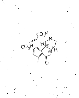 Cc1cccc2c1C(=O)C[C@@H]1CCN(C)C[C@H]21.O=C(O)C=CC(=O)O